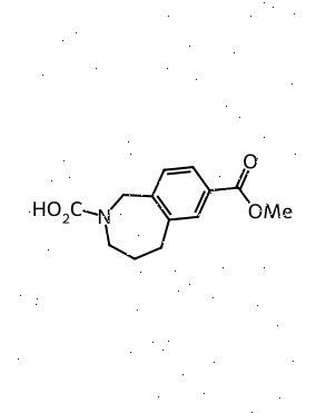 COC(=O)c1ccc2c(c1)CCCN(C(=O)O)C2